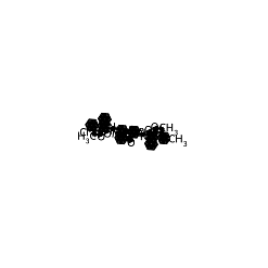 COc1c(C(=O)N(C)c2cccc(C)c2)cc2ccccc2c1N=Nc1ccc2c(c1)C(=O)c1cccc3c(N=Nc4c(OC)c(C(=O)N(C)c5ccccc5Cl)cc5ccccc45)ccc-2c13